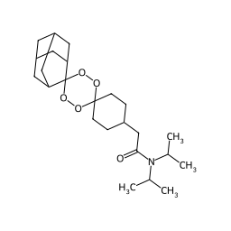 CC(C)N(C(=O)CC1CCC2(CC1)OOC1(OO2)C2CC3CC(C2)CC1C3)C(C)C